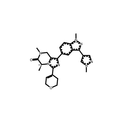 C[C@H]1C(=O)N(C)Cc2c(-c3ccc4c(c3)c(-c3cnn(C)c3)nn4C)nc(C3=CCOCC3)n21